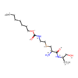 CCCCCCCCCCCCCCCCOC(=O)NCCSCC(N)C(=O)NC(CO)C(=O)O